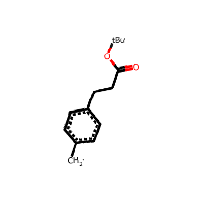 [CH2]c1ccc(CCC(=O)OC(C)(C)C)cc1